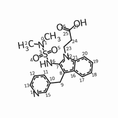 CN(C)S(=O)(=O)Nc1c(Cc2cccnc2)c2ccccc2n1CCC(=O)O